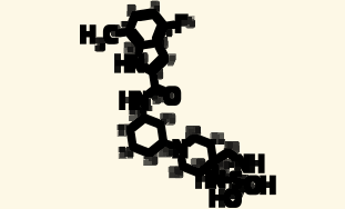 Cc1ccc(F)c2cc(C(=O)N[C@@H]3CCC[C@H](N4CCC5(CC4)CNS(O)(O)N5)C3)[nH]c12